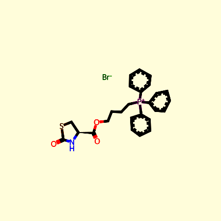 O=C1N[C@H](C(=O)OCCCC[P+](c2ccccc2)(c2ccccc2)c2ccccc2)CS1.[Br-]